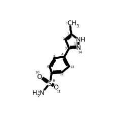 Cc1cc(-c2ccc(S(N)(=O)=O)cc2)n[nH]1